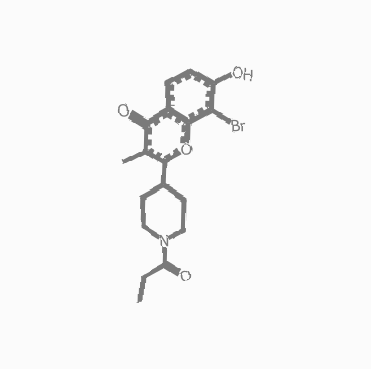 CCC(=O)N1CCC(c2oc3c(Br)c(O)ccc3c(=O)c2C)CC1